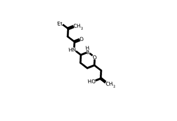 C=C(O)CC1CCC(NC(=O)CC(=C)CC)BO1